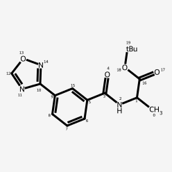 CC(NC(=O)c1cccc(-c2ncon2)c1)C(=O)OC(C)(C)C